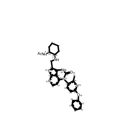 CC(=O)N[C@H]1CCCC[C@H]1NCc1sc2nccc3c2c1NC(=O)N3c1ccc(Oc2ccccc2)nc1C